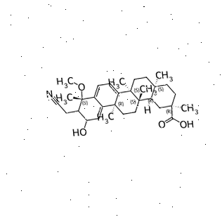 CO[C@]1(C)C2=CC=C3[C@@](C)(CC[C@@]4(C)[C@@H]5C[C@](C)(C(=O)O)CC[C@]5(C)CC[C@]34C)C2=CC(O)C1CC#N